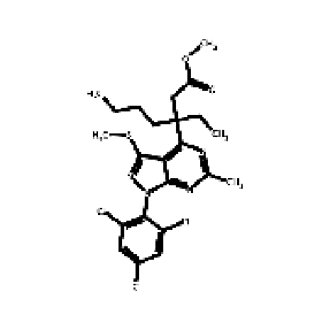 CCCCC(CC)(CC(=O)OC)c1nc(C)nc2c1c(SC)nn2-c1c(Cl)cc(Cl)cc1Cl